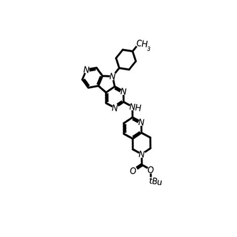 CC1CCC(n2c3cnccc3c3cnc(Nc4ccc5c(n4)CCN(C(=O)OC(C)(C)C)C5)nc32)CC1